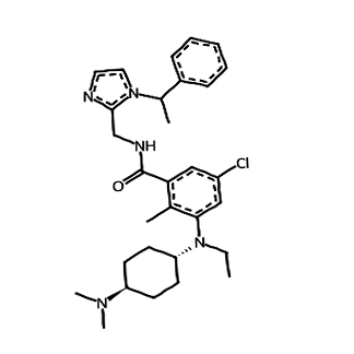 CCN(c1cc(Cl)cc(C(=O)NCc2nccn2C(C)c2ccccc2)c1C)[C@H]1CC[C@H](N(C)C)CC1